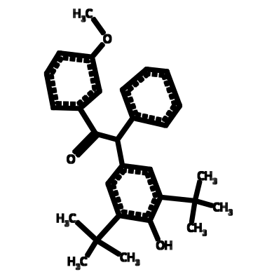 COc1cccc(C(=O)C(c2ccccc2)c2cc(C(C)(C)C)c(O)c(C(C)(C)C)c2)c1